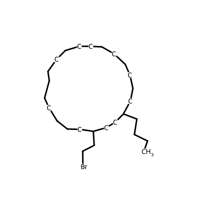 CCCCC1CCCCCCCCCCCCCCCCCC(CCBr)CC1